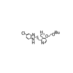 CCC(C)OCCOc1ccnc(CSc2nc3cc(Cl)ccc3[nH]2)c1C